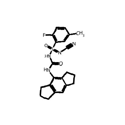 Cc1ccc(F)c(S(=O)(=NC#N)NC(=O)Nc2c3c(cc4c2CCC4)CCC3)c1